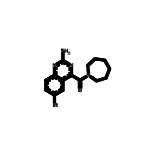 CCc1ccc2nc(N)nc(C(=O)N3CCCCCC3)c2c1